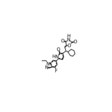 CCn1ncc2c(F)cc(-c3ccc(C(/C=C4\OC(=O)NC4=O)C4CCCCC4)c(=O)[nH]3)cc21